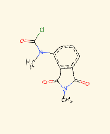 CN1C(=O)c2cccc(N(C)C(=O)Cl)c2C1=O